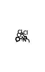 CCc1cc(C(Cl)(Cl)Cl)n(-c2ccccc2)n1